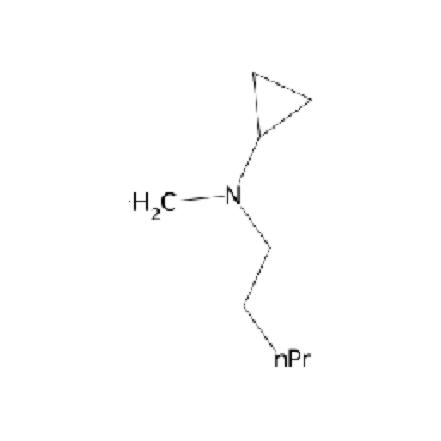 [CH2]N(CCCCC)C1CC1